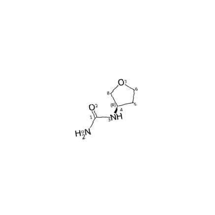 NC(=O)N[C@@H]1CCOC1